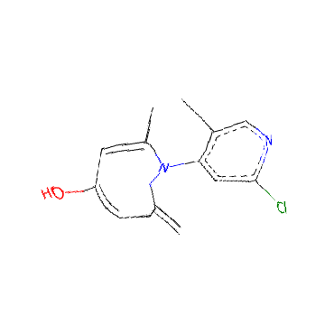 C=C1C=C(O)C=C(C)N1c1cc(Cl)ncc1C